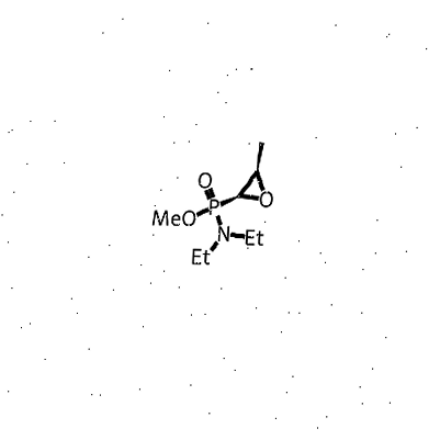 CCN(CC)P(=O)(OC)[C@@H]1O[C@@H]1C